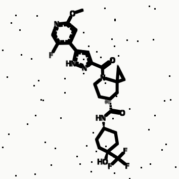 COc1cc(-c2cc(C(=O)N3CC[C@@H](C(=O)N[C@H]4CC[C@@](O)(C(F)(F)F)CC4)CC34CC4)n[nH]2)c(F)cn1